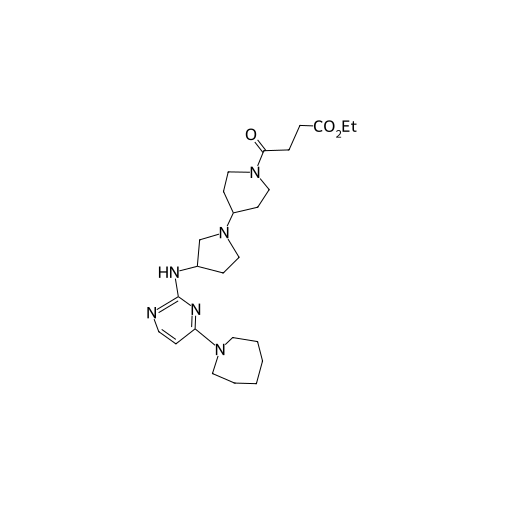 CCOC(=O)CCC(=O)N1CCC(N2CCC(Nc3nccc(N4CCCCCC4)n3)C2)CC1